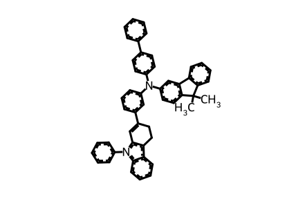 CC1(C)c2ccccc2-c2cc(N(c3ccc(-c4ccccc4)cc3)c3cccc(C4=Cc5c(c6ccccc6n5-c5ccccc5)CC4)c3)ccc21